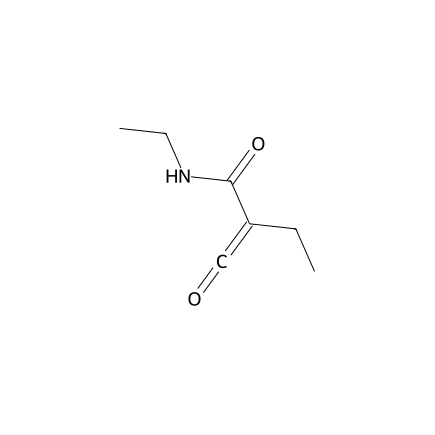 CCNC(=O)C(=C=O)CC